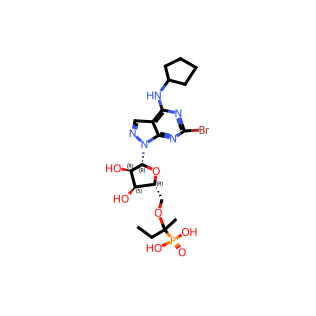 CCC(C)(OC[C@H]1O[C@@H](n2ncc3c(NC4CCCC4)nc(Br)nc32)[C@H](O)[C@@H]1O)P(=O)(O)O